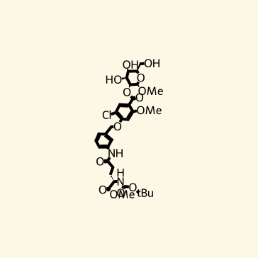 COC(=O)[C@H](CCC(=O)Nc1cccc(COc2cc(OC)c(C(=O)O[C@H]3[C@@H](OC)O[C@H](CO)[C@@H](O)[C@@H]3O)cc2Cl)c1)NC(=O)OC(C)(C)C